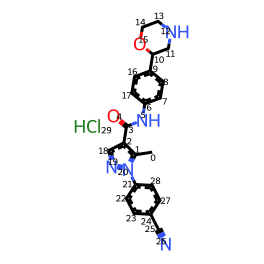 Cc1c(C(=O)Nc2ccc(C3CNCCO3)cc2)cnn1-c1ccc(C#N)cc1.Cl